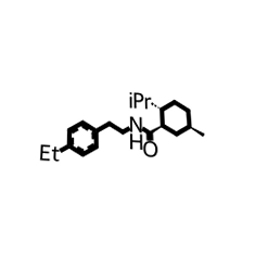 CCc1ccc(CCNC(=O)[C@@H]2C[C@H](C)CC[C@H]2C(C)C)cc1